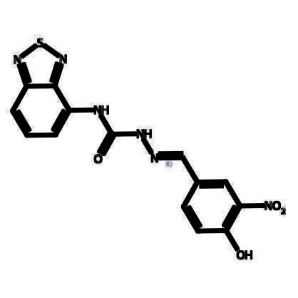 O=C(N/N=C/c1ccc(O)c([N+](=O)[O-])c1)Nc1cccc2nsnc12